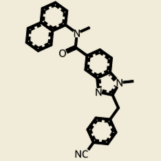 CN(C(=O)c1ccc2c(c1)nc(Cc1ccc(C#N)cc1)n2C)c1cccc2ccccc12